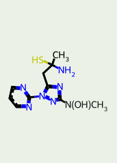 CN(O)c1nc(CC(C)(N)S)n(-c2ncccn2)n1